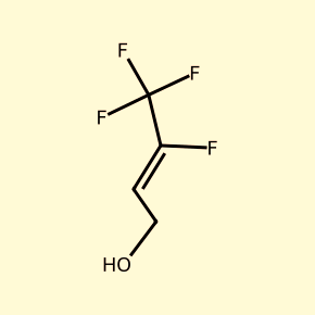 OCC=C(F)C(F)(F)F